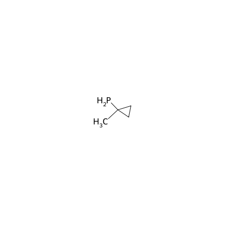 CC1(P)CC1